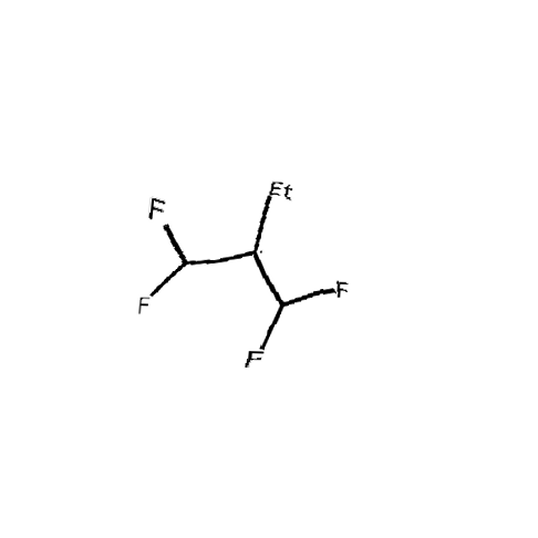 CC[C](C(F)F)C(F)F